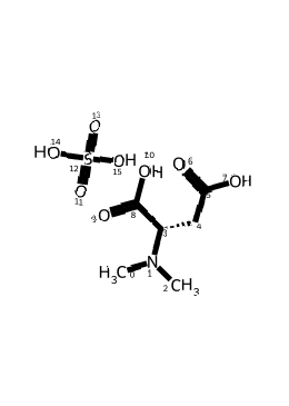 CN(C)[C@@H](CC(=O)O)C(=O)O.O=S(=O)(O)O